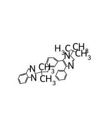 CC(C)(C)c1cnc(-c2ccccc2)c(-c2cccc(CC(C)(C)c3ncc4ccccc4n3)c2)n1